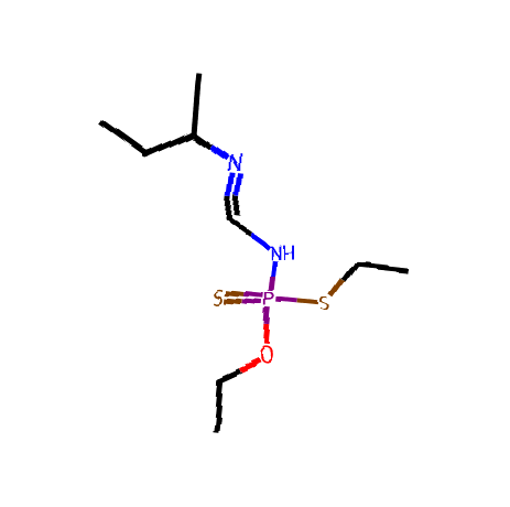 CCOP(=S)(NC=NC(C)CC)SCC